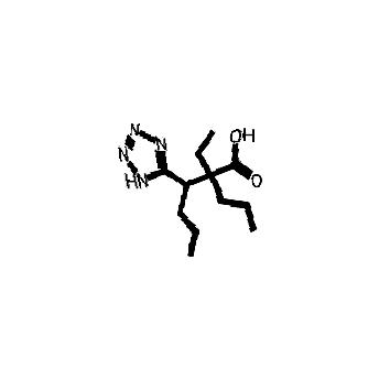 CCCC(c1nnn[nH]1)C(CC)(CCC)C(=O)O